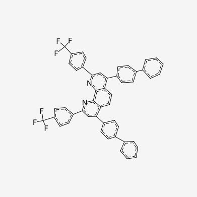 FC(F)(F)c1ccc(-c2cc(-c3ccc(-c4ccccc4)cc3)c3ccc4c(-c5ccc(-c6ccccc6)cc5)cc(-c5ccc(C(F)(F)F)cc5)nc4c3n2)cc1